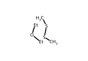 CCOCC.CSSC